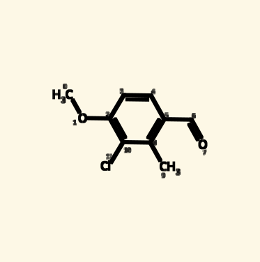 COc1ccc(C=O)c(C)c1Cl